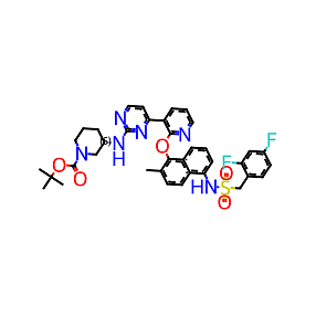 Cc1ccc2c(NS(=O)(=O)Cc3ccc(F)cc3F)cccc2c1Oc1ncccc1-c1ccnc(N[C@H]2CCCN(C(=O)OC(C)(C)C)C2)n1